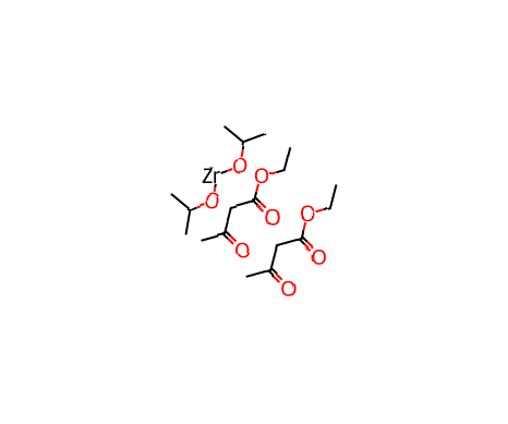 CC(C)[O][Zr][O]C(C)C.CCOC(=O)CC(C)=O.CCOC(=O)CC(C)=O